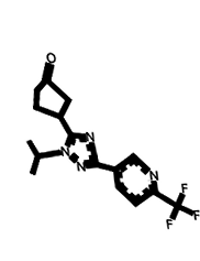 CC(C)n1nc(-c2ccc(C(F)(F)F)nc2)nc1C1CCC(=O)C1